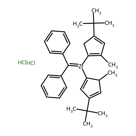 CC1=[C]([Zr]([C]2=CC(C(C)(C)C)=CC2C)=[C](c2ccccc2)c2ccccc2)CC(C(C)(C)C)=C1.Cl.Cl